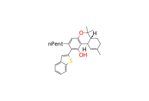 CCCCCc1cc2c(c(O)c1-c1cc3ccccc3s1)[C@@H]1C=C(C)CC[C@H]1C(C)(C)O2